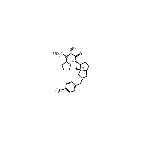 CCC[C@@H](C(=O)NC1CCC2CN(Cc3ccc(C(F)(F)F)cc3)C[C@@H]21)N(C(=O)O)C1CCCC1